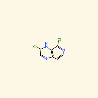 Clc1nccc2c1NC(Cl)C=N2